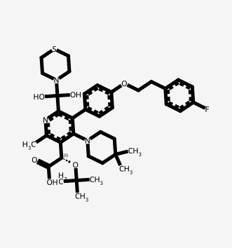 Cc1nc(C(O)(O)N2CCSCC2)c(-c2ccc(OCCc3ccc(F)cc3)cc2)c(N2CCC(C)(C)CC2)c1[C@H](OC(C)(C)C)C(=O)O